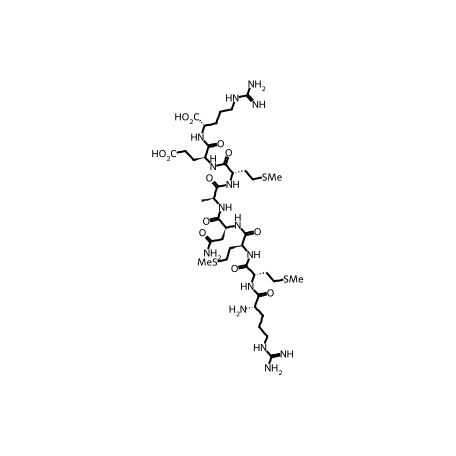 CSCC[C@H](NC(=O)[C@H](C)NC(=O)[C@H](CC(N)=O)NC(=O)[C@H](CCSC)NC(=O)[C@H](CCSC)NC(=O)[C@@H](N)CCCNC(=N)N)C(=O)N[C@@H](CCC(=O)O)C(=O)N[C@@H](CCCNC(=N)N)C(=O)O